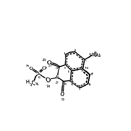 CCCCc1ccc2c3c(cccc13)C(=O)N(OS(C)(=O)=O)C2=O